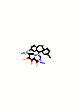 Cc1ccc2c(c1)C(N1CN(C(C)C)C(=O)c3c(O)c(=O)c(C(=O)O)cn31)c1cc(C)ccc1CC2